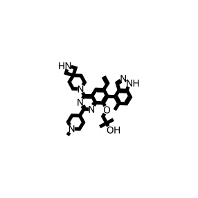 C=Cc1cc2c(N3CCC4(CC3)CNC4)nc(C3CCN(C)CC3)nc2c(OCC(C)(C)O)c1-c1c(C)ccc2[nH]ncc12